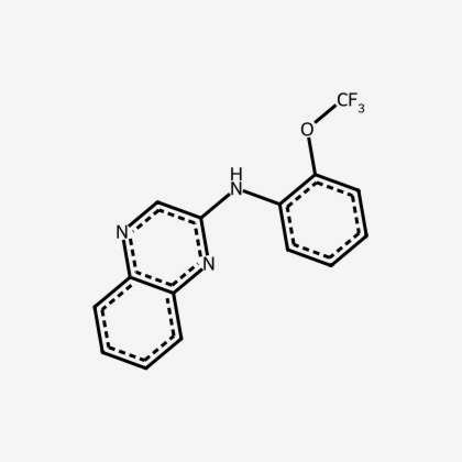 FC(F)(F)Oc1ccccc1Nc1cnc2ccccc2n1